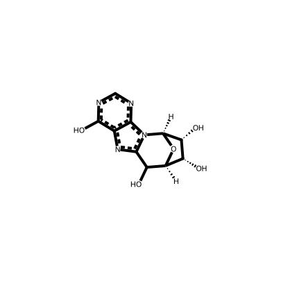 Oc1ncnc2c1nc1n2[C@@H]2O[C@H](C1O)[C@@H](O)[C@H]2O